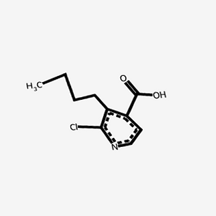 CCCCc1c(C(=O)O)ccnc1Cl